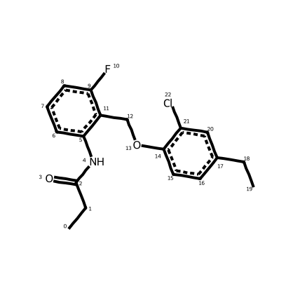 CCC(=O)Nc1cccc(F)c1COc1ccc(CC)cc1Cl